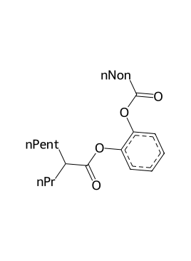 CCCCCCCCCC(=O)Oc1ccccc1OC(=O)C(CCC)CCCCC